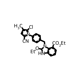 CCOC(=O)c1cccc2c1N(Cc1ccc(-n3c(C#N)cc(C)c3Cl)cc1)C(OCC)N2